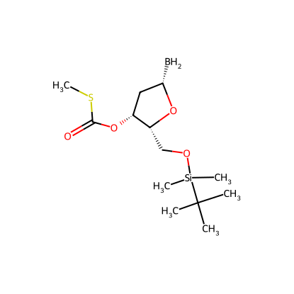 B[C@H]1C[C@@H](OC(=O)SC)[C@@H](CO[Si](C)(C)C(C)(C)C)O1